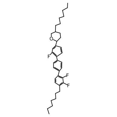 CCCCCCCc1ccc(-c2ccc(-c3ccc(C4CCC(CCCCCCC)CO4)cc3F)cc2)c(F)c1F